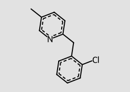 Cc1ccc(Cc2ccccc2Cl)nc1